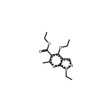 CCOC(=O)c1c(C)nc2c(cnn2CC)c1OCC